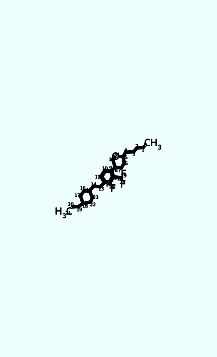 CCCCCC1CCC(c2ccc(CCC3CCC(CCC)CC3)c(F)c2C(F)F)CO1